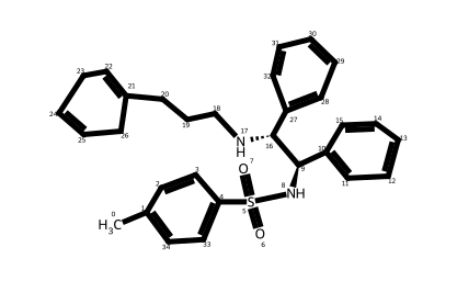 Cc1ccc(S(=O)(=O)N[C@H](c2ccccc2)[C@H](NCCCC2=CCC=CC2)c2ccccc2)cc1